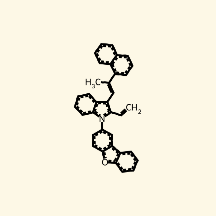 C=Cc1c(/C=C(\C)c2cccc3ccccc23)c2ccccc2n1-c1ccc2oc3ccccc3c2c1